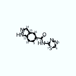 O=C(Nc1nncs1)c1ccc2[nH]ncc2c1